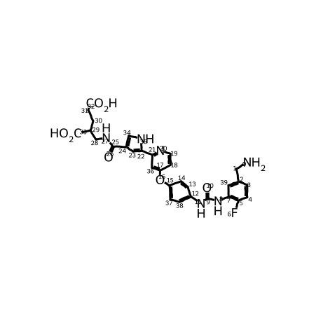 NCc1ccc(F)c(NC(=O)Nc2ccc(Oc3ccnc(-c4cc(C(=O)NCC(CCC(=O)O)C(=O)O)c[nH]4)c3)cc2)c1